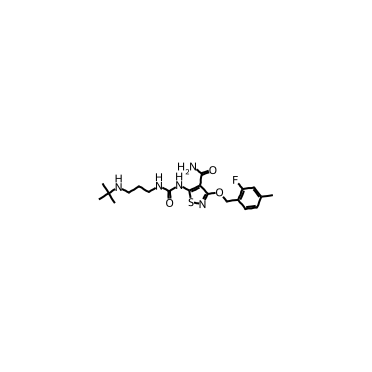 Cc1ccc(COc2nsc(NC(=O)NCCCNC(C)(C)C)c2C(N)=O)c(F)c1